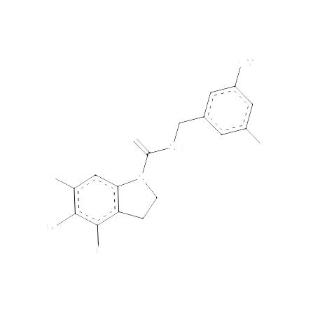 COc1cc(F)cc(CNC(=O)N2CCc3c2cc(F)c(Br)c3F)c1